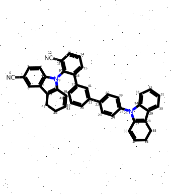 N#Cc1ccc2c(c1)c1c(n2-c2c(C#N)cccc2-c2cccc(-c3ccc(-n4c5c(c6ccccc64)CCC=C5)cc3)c2)C=CCC1